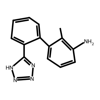 Cc1c(N)cccc1-c1ccccc1-c1nnn[nH]1